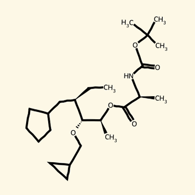 CC[C@H](CC1CCCC1)[C@@H](OCC1CC1)[C@H](C)OC(=O)[C@H](C)NC(=O)OC(C)(C)C